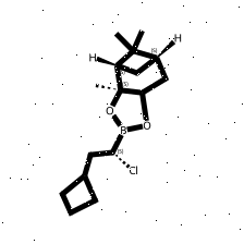 CC1(C)[C@@H]2CC3OB([C@H](Cl)CC4CCC4)O[C@@]3(C)[C@H]1C2